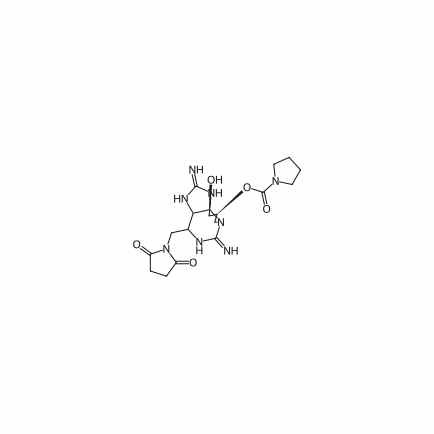 N=C1NC2C(CN3C(=O)CCC3=O)NC(=N)N3C[C@H](OC(=O)N4CCCC4)[C@@H](O)C23N1